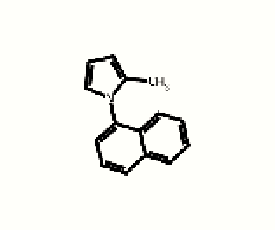 Cc1cccn1-c1cccc2ccccc12